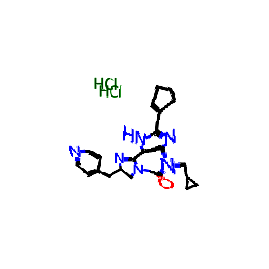 Cl.Cl.O=C1N2CC(Cc3ccncc3)N=C2c2[nH]c(C3CCCC3)nc2N1CC1CC1